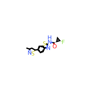 CC1=NSC(c2ccc3nc(NC(=O)[C@@H]4C[C@@H]4F)sc3c2)C1